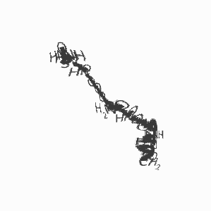 C=CC(=O)N1CCC[C@H](Oc2nc(Nc3cccc(OCCOCCNC(=O)CCCC(=O)N(N)CCCOCCOCCOCCCNC(=O)CCCC[C@@H]4SC[C@@H]5NC(=O)N[C@@H]54)c3)ncc2F)C1